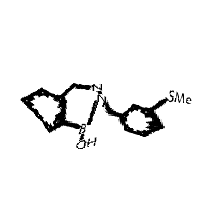 CSc1cccc(N2N=Cc3ccccc3B2O)c1